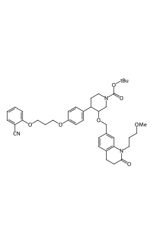 COCCCN1C(=O)CCc2ccc(COC3CN(C(=O)OC(C)(C)C)CCC3c3ccc(OCCCOc4ccccc4C#N)cc3)cc21